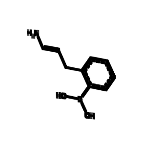 N/C=C/Cc1ccccc1B(O)O